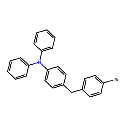 CCC(C)c1ccc(Cc2ccc(N(c3ccccc3)c3ccccc3)cc2)cc1